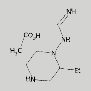 CC(=O)O.CCC1CNCCN1NC=N